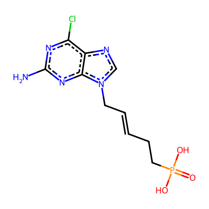 Nc1nc(Cl)c2ncn(C/C=C/CCP(=O)(O)O)c2n1